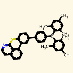 Cc1cc(C)c(B(c2ccc(-c3ccc4c(c3)-c3cccc5ccnc(c35)S4)cc2)c2c(C)cc(C)cc2C)c(C)c1